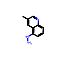 Cc1cnc2cccc(NN)c2c1